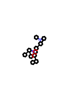 c1ccc(-c2ccccc2-c2c(-c3ccccc3)cccc2N(c2ccc(-c3ccc4c5ccccc5n(-c5ccccc5)c4c3)cc2)c2ccc(-c3cccc4ccccc34)cc2)cc1